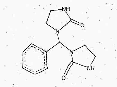 O=C1NCCN1C(c1ccccc1)N1CCNC1=O